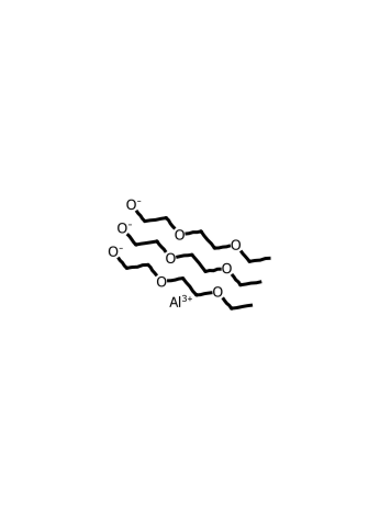 CCOCCOCC[O-].CCOCCOCC[O-].CCOCCOCC[O-].[Al+3]